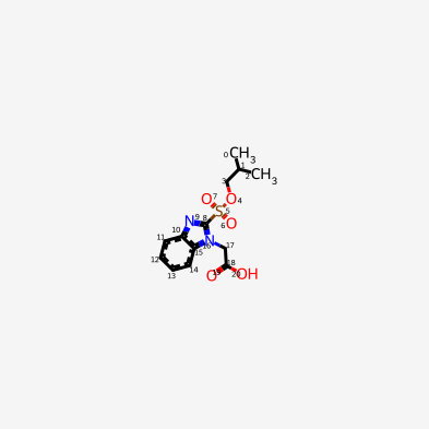 CC(C)COS(=O)(=O)c1nc2ccccc2n1CC(=O)O